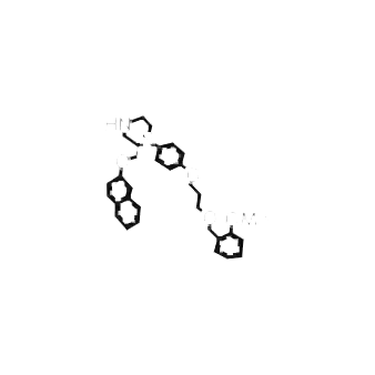 COc1ccccc1COCCCOc1ccc(N2CCNC[C@@H]2COc2ccc3ccccc3c2)cc1